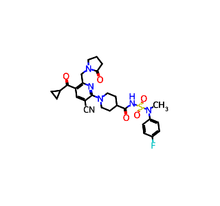 CN(c1ccc(F)cc1)S(=O)(=O)NC(=O)C1CCN(c2nc(CN3CCCC3=O)c(C(=O)C3CC3)cc2C#N)CC1